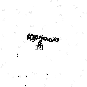 CC(C)(C)OC(=O)ON1CCN(C2CCN(C(=O)[C@@H](Cc3ccc(Cl)c(Cl)c3)OC(=O)N3CCC(N4CCc5ccccc5NC4=O)CC3)CC2)CC1